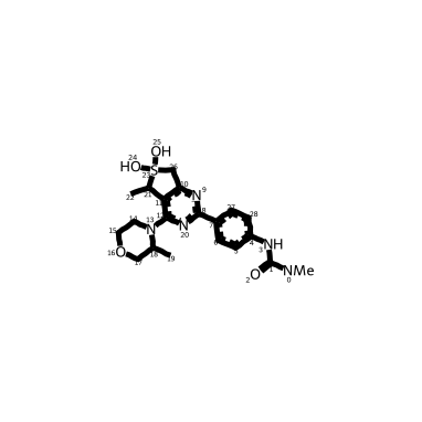 CNC(=O)Nc1ccc(-c2nc3c(c(N4CCOCC4C)n2)C(C)S(O)(O)C3)cc1